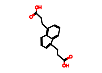 O=C(O)CCc1cccc2c(CCC(=O)O)cccc12